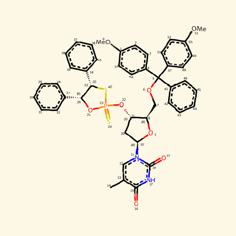 COc1ccc(C(OC[C@H]2O[C@@H](n3cc(C)c(=O)[nH]c3=O)C[C@@H]2OP2(=S)O[C@H](c3ccccc3)[C@H](c3ccccc3)S2)(c2ccccc2)c2ccc(OC)cc2)cc1